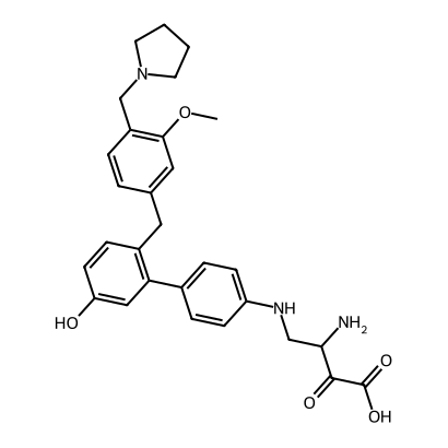 COc1cc(Cc2ccc(O)cc2-c2ccc(NCC(N)C(=O)C(=O)O)cc2)ccc1CN1CCCC1